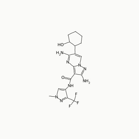 Cn1cc(NC(=O)c2c(N)nn3cc(C4CCCCC4O)c(N)nc23)c(C(F)(F)F)n1